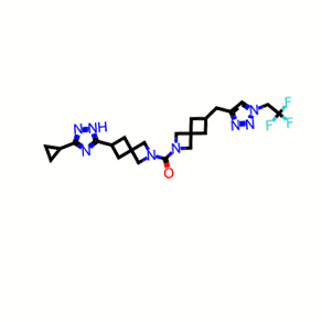 O=C(N1CC2(CC(Cc3cn(CC(F)(F)F)nn3)C2)C1)N1CC2(CC(c3nc(C4CC4)n[nH]3)C2)C1